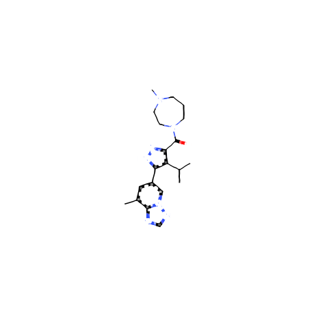 Cc1cc(-c2[nH]nc(C(=O)N3CCCN(C)CC3)c2C(C)C)cn2ncnc12